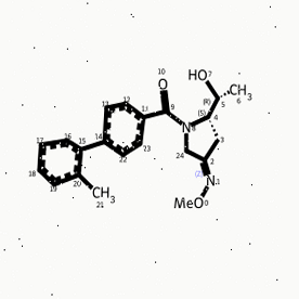 CO/N=C1/C[C@@H]([C@@H](C)O)N(C(=O)c2ccc(-c3ccccc3C)cc2)C1